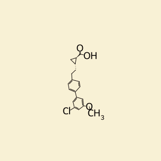 COc1cc(Cl)cc(-c2ccc(CC[C@@H]3C[C@H]3C(=O)O)cc2)c1